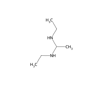 CCNC(C)NCC